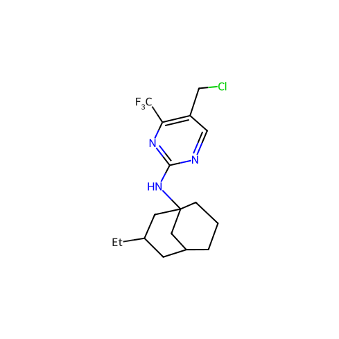 CCC1CC2CCCC(Nc3ncc(CCl)c(C(F)(F)F)n3)(C1)C2